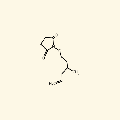 C=CCC(C)CCON1C(=O)CCC1=O